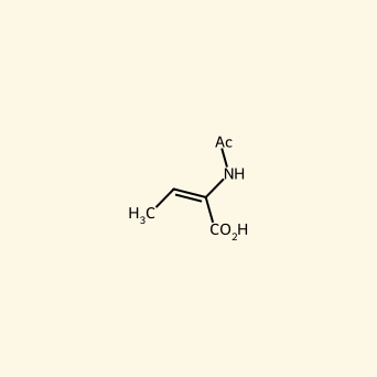 CC=C(NC(C)=O)C(=O)O